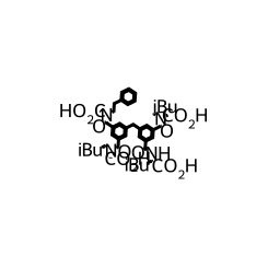 CCC(C)CN(C(=O)O)C(=O)c1cc(Cc2cc(C(=O)N(CCc3ccccc3)C(=O)O)cc(C(=O)N(CC(C)CC)C(=O)O)c2)cc(C(=O)NC(C(=O)O)C(C)CC)c1